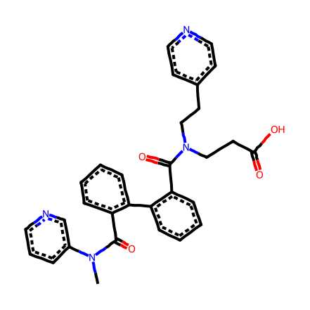 CN(C(=O)c1ccccc1-c1ccccc1C(=O)N(CCC(=O)O)CCc1ccncc1)c1cccnc1